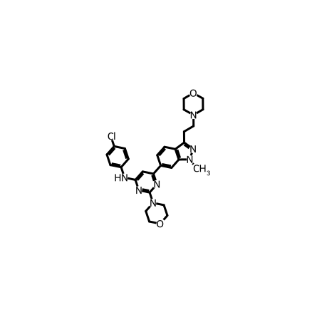 Cn1nc(CCN2CCOCC2)c2ccc(-c3cc(Nc4ccc(Cl)cc4)nc(N4CCOCC4)n3)cc21